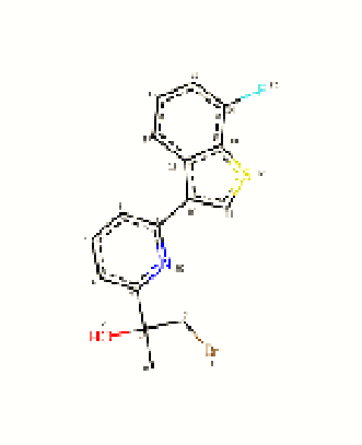 CC(O)(CBr)c1cccc(-c2csc3c(F)cccc23)n1